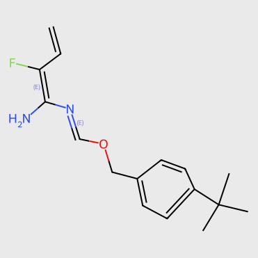 C=C/C(F)=C(N)\N=C\OCc1ccc(C(C)(C)C)cc1